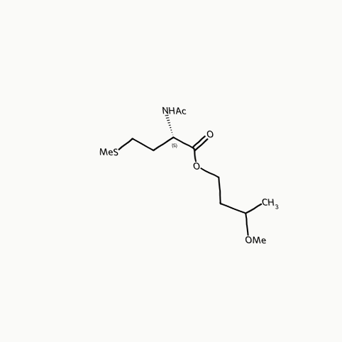 COC(C)CCOC(=O)[C@H](CCSC)NC(C)=O